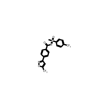 CS(=O)(=NC(=O)c1ccc(-c2cc(C(F)(F)F)on2)cc1)c1ccc(C(F)(F)F)cc1